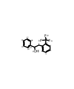 O[C](Cc1ccccc1C(F)(F)F)c1ccccc1